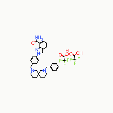 NC(=O)c1cccc2cn(-c3ccc(CN4CCCC5(CCCN(Cc6ccccc6)C5)C4)cc3)nc12.O=C(O)C(F)(F)F.O=C(O)C(F)(F)F